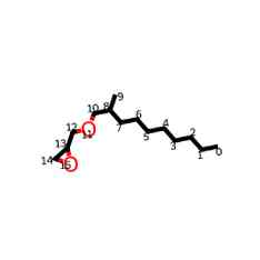 CCCCCCCCC(C)COCC1CO1